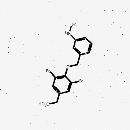 CC(C)Nc1cccc(COc2c(Br)cc(CC(=O)O)cc2Br)c1